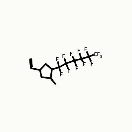 C=CC1CC(C)C(C(F)(F)C(F)(F)C(F)(F)C(F)(F)C(F)(F)C(F)(F)F)C1